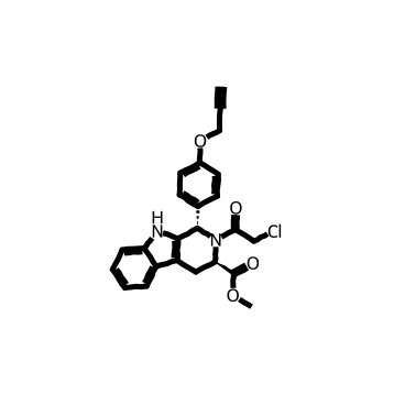 C#CCOc1ccc([C@H]2c3[nH]c4ccccc4c3C[C@H](C(=O)OC)N2C(=O)CCl)cc1